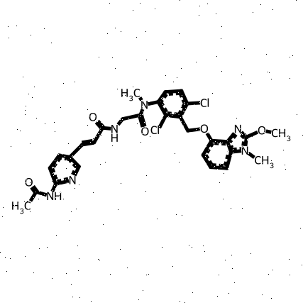 COc1nc2c(OCc3c(Cl)ccc(N(C)C(=O)CNC(=O)C=Cc4ccc(NC(C)=O)nc4)c3Cl)cccc2n1C